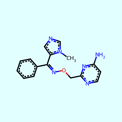 Cn1cncc1/C(=N\OCc1nccc(N)n1)c1ccccc1